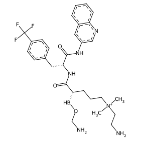 C[N+](C)(CCN)CCC[C@H](BOCN)C(=O)N[C@H](Cc1ccc(C(F)(F)F)cc1)C(=O)Nc1cnc2ccccc2c1